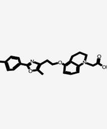 Cc1ccc(-c2nc(CCOc3cccc4c3CCCN4CC(=O)O)c(C)o2)cc1